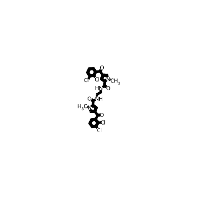 Cn1cc(C(=O)c2cccc(Cl)c2Cl)cc1C(=O)NCCNC(=O)c1cc(C(=O)c2cccc(Cl)c2Cl)cn1C